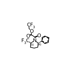 O=C(OCC(F)(F)F)C(=O)N1[C@@H](c2ccccc2)CCC[C@H]1C(F)(F)F